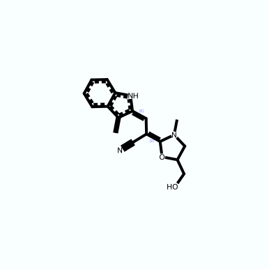 C=c1/c(=C\C(C#N)=C2\OC(CO)CN2C)[nH]c2ccccc12